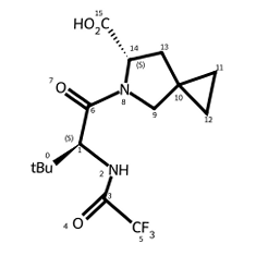 CC(C)(C)[C@H](NC(=O)C(F)(F)F)C(=O)N1CC2(CC2)C[C@H]1C(=O)O